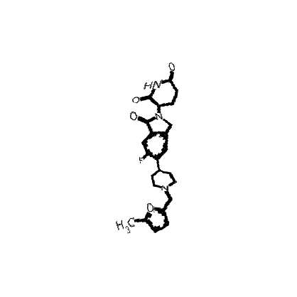 Cc1ccc(CN2CCC(c3cc4c(cc3F)C(=O)N(C3CCC(=O)NC3=O)C4)CC2)o1